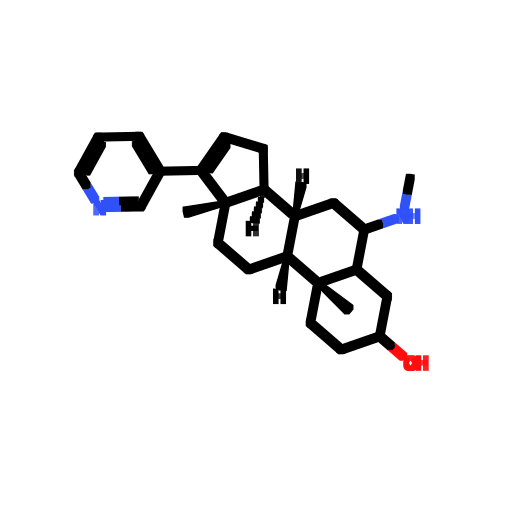 CNC1C[C@@H]2[C@@H](CC[C@]3(C)C(c4cccnc4)=CC[C@@H]23)[C@@]2(C)CCC(O)CC12